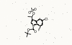 CC(OS(C)(=O)=O)c1cn(C(=O)OC(C)(C)C)c2c(F)cc(Cl)cc12